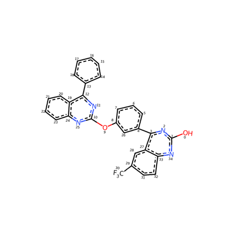 Oc1nc(-c2cccc(Oc3nc(-c4ccccc4)c4ccccc4n3)c2)c2cc(C(F)(F)F)ccc2n1